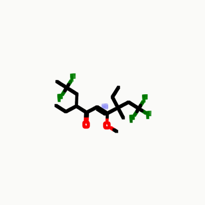 CCC(CC(C)(F)F)C(=O)/C=C(\OC)C(C)(CC)CC(F)(F)F